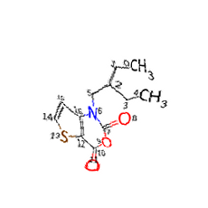 CCC(CC)Cn1c(=O)oc(=O)c2sccc21